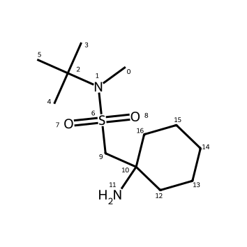 CN(C(C)(C)C)S(=O)(=O)CC1(N)CCCCC1